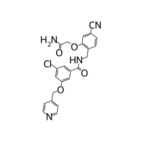 N#Cc1ccc(CNC(=O)c2cc(Cl)cc(OCc3ccncc3)c2)c(OCC(N)=O)c1